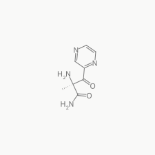 C[C@@](N)(C(N)=O)C(=O)c1cnccn1